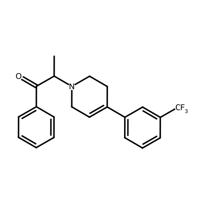 CC(C(=O)c1ccccc1)N1CC=C(c2cccc(C(F)(F)F)c2)CC1